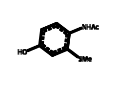 CSc1cc(O)ccc1NC(C)=O